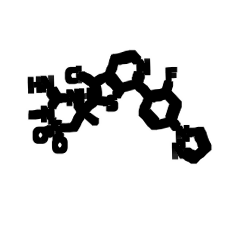 CN1C(=N)N[C@](C)(c2sc3c(-c4ccc(-n5cccn5)cc4F)nccc3c2Cl)CS1(=O)=O